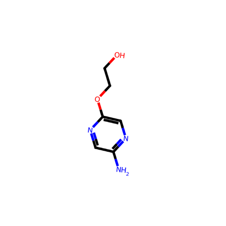 Nc1cnc(OCCO)cn1